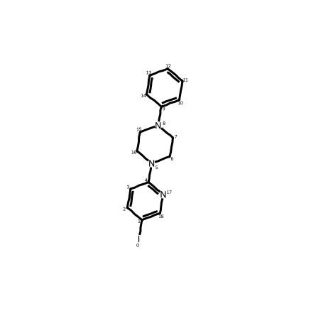 Ic1ccc(N2CCN(c3ccccc3)CC2)nc1